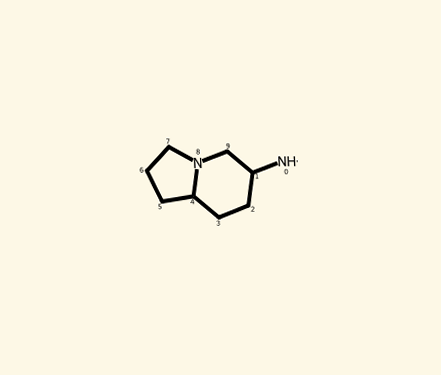 [NH]C1CCC2CCCN2C1